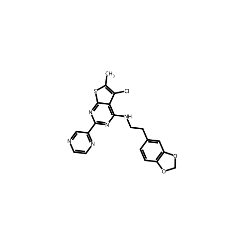 Cc1sc2nc(-c3cnccn3)nc(NCCc3ccc4c(c3)OCO4)c2c1Cl